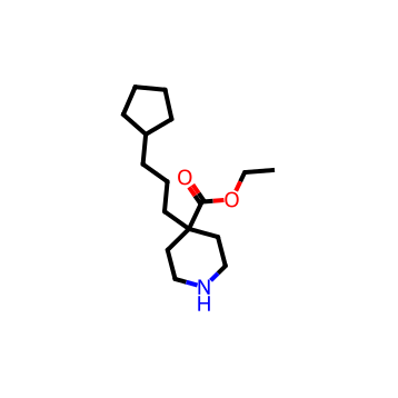 CCOC(=O)C1(CCCC2CCCC2)CCNCC1